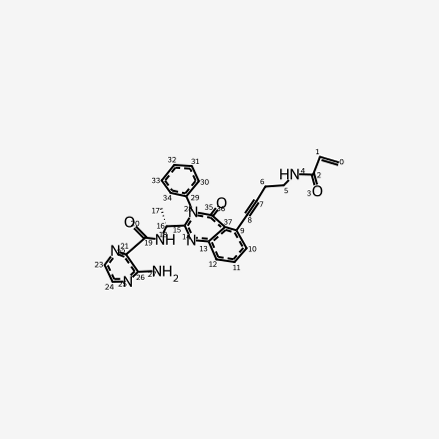 C=CC(=O)NCCC#Cc1cccc2nc([C@@H](C)NC(=O)c3nccnc3N)n(-c3ccccc3)c(=O)c12